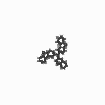 c1ccc2cc(N(c3ccc4oc5ccccc5c4c3)c3ccc4oc5ccccc5c4c3)ccc2c1